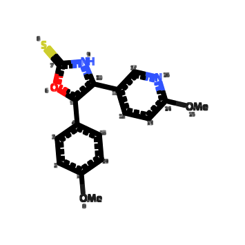 COc1ccc(-c2oc(=S)[nH]c2-c2ccc(OC)nc2)cc1